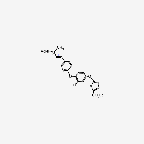 CCOC(=O)c1cnc(Oc2ccc(Oc3ccc(/C=C/[C@H](C)NC(C)=O)cn3)c(Cl)c2)s1